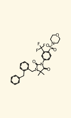 CC1(C)C(=O)N(c2ccc(S(=O)(=O)N3CCOCC3)c(C(F)(F)F)c2)C(=O)N1Cc1ccccc1Cc1ccccc1